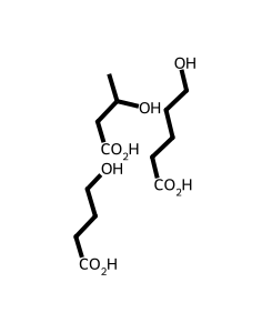 CC(O)CC(=O)O.O=C(O)CCCCO.O=C(O)CCCO